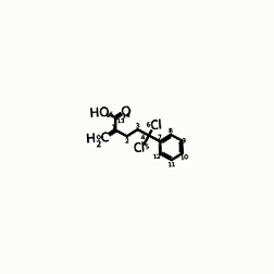 C=C(CCC(Cl)(Cl)c1ccccc1)C(=O)O